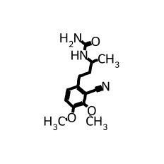 COc1ccc(CCC(C)NC(N)=O)c(C#N)c1OC